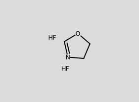 C1=NCCO1.F.F